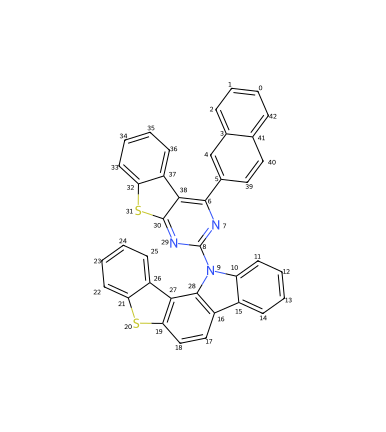 c1ccc2cc(-c3nc(-n4c5ccccc5c5ccc6sc7ccccc7c6c54)nc4sc5ccccc5c34)ccc2c1